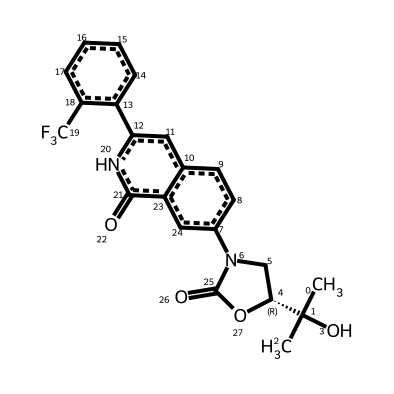 CC(C)(O)[C@H]1CN(c2ccc3cc(-c4ccccc4C(F)(F)F)[nH]c(=O)c3c2)C(=O)O1